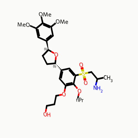 CCCOc1c(OCCCO)cc([C@@H]2CC[C@@H](c3cc(OC)c(OC)c(OC)c3)O2)cc1S(=O)(=O)CC(C)N